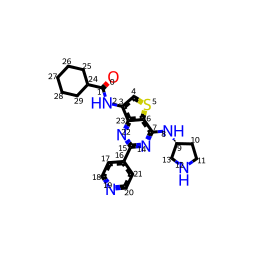 O=C(Nc1csc2c(N[C@@H]3CCNC3)nc(-c3ccncc3)nc12)C1CCCCC1